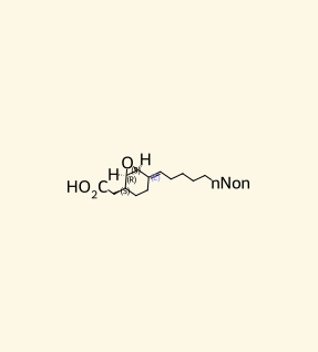 CCCCCCCCCCCCC/C=C1\CC[C@@H](CC(=O)O)[C@H]2O[C@@H]12